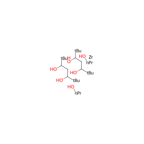 CC(C)(C)C(O)CC(O)C(C)(C)C.CC(C)(C)C(O)CC(O)C(C)(C)C.CCCO.CCCO.[Zr]